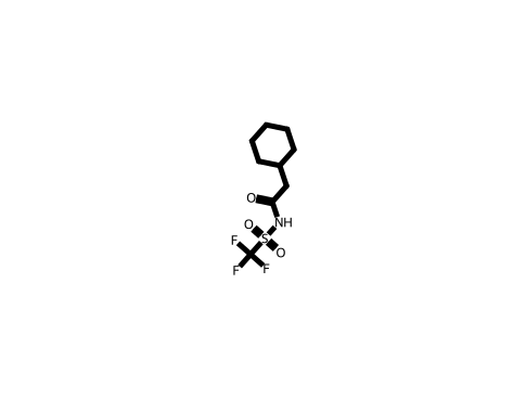 O=C(CC1CCCCC1)NS(=O)(=O)C(F)(F)F